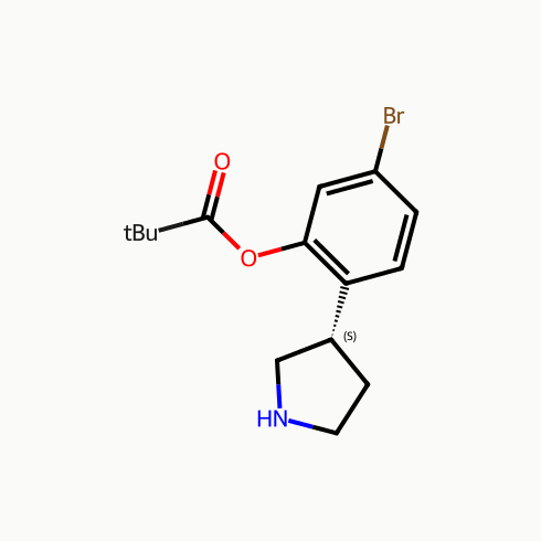 CC(C)(C)C(=O)Oc1cc(Br)ccc1[C@@H]1CCNC1